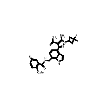 COc1ccc(F)cc1C(=O)NCc1ccc(-c2nn(C3CC(F)(F)C3)c(N)c2C(N)=O)c2cc[nH]c12